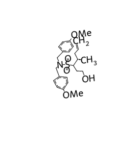 C=CC[C@@H](C)C(CCO)S(=O)(=O)N(Cc1ccc(OC)cc1)Cc1ccc(OC)cc1